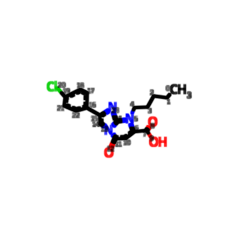 CCCCCn1c(C(=O)O)cc(=O)n2cc(-c3ccc(Cl)cc3)nc12